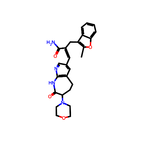 Cc1oc2ccccc2c1C/C(=C/c1cnc2c(c1)CCC(N1CCOCC1)C(=O)N2)C(N)=O